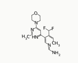 C/C=N/C(=C\C(=N)C(=C/N=C/N)/C(=C\C)C(F)F)N1CCOCC1